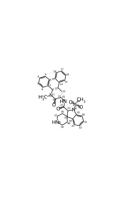 CN(Cc1ccccc1)C(=O)[C@H](CCc1ccccc1)NC(=O)C1N(S(C)(=O)=O)c2ccccc2C12CCNCC2